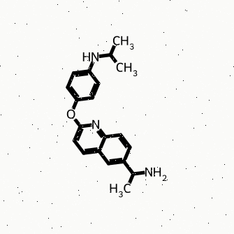 CC(C)Nc1ccc(Oc2ccc3cc(C(C)N)ccc3n2)cc1